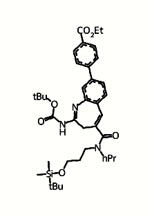 CCCN(CCCO[Si](C)(C)C(C)(C)C)C(=O)C1=Cc2ccc(-c3ccc(C(=O)OCC)cc3)cc2N=C(NC(=O)OC(C)(C)C)C1